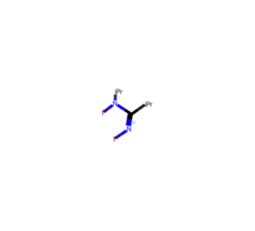 CC(C)/C(=N/I)N(I)C(C)C